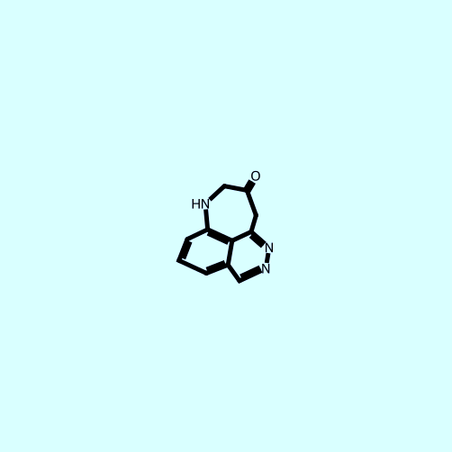 O=C1CNc2cccc3cnnc(c23)C1